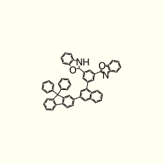 c1ccc(C2(c3ccccc3)c3ccccc3-c3ccc(-c4cc(-c5cc(-c6nc7ccccc7o6)cc(C6Nc7ccccc7O6)c5)c5ccccc5c4)cc32)cc1